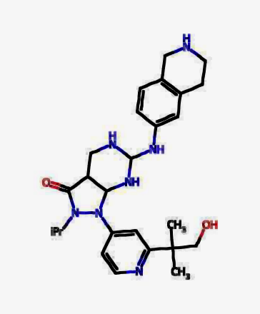 CC(C)N1C(=O)C2CNC(Nc3ccc4c(c3)CCNC4)NC2N1c1ccnc(C(C)(C)CO)c1